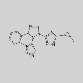 CC1CC1c1noc(N2C=NC3c4ccccc4-n4cncc4N32)n1